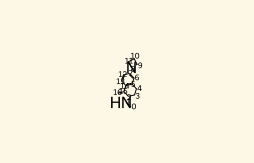 CNC1CCc2cc(N3CCC3)ccc2C1C